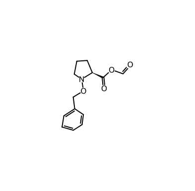 O=COC(=O)[C@@H]1CCCN1OCc1ccccc1